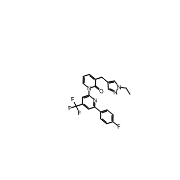 CCn1cc(Cc2cccn(-c3cc(C(F)(F)F)cc(-c4ccc(F)cc4)n3)c2=O)cn1